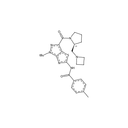 Cc1ccc(C(=O)Nc2nc3c(s2)c(C(=O)N2CCC[C@H]2CN2CCC2)nn3C(C)(C)C)cc1